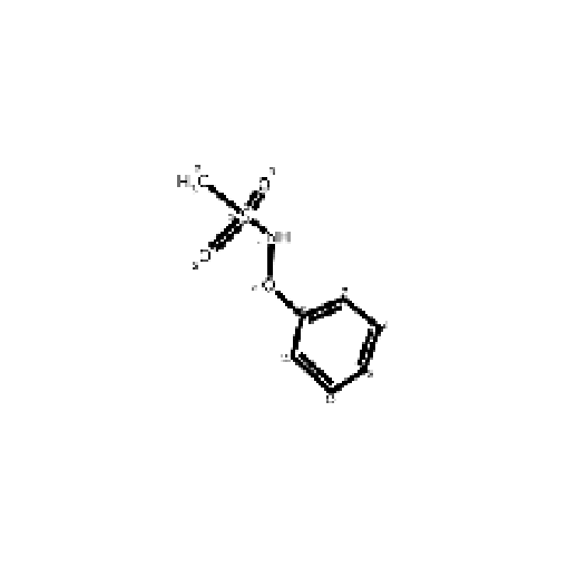 CS(=O)(=O)NOc1ccccc1